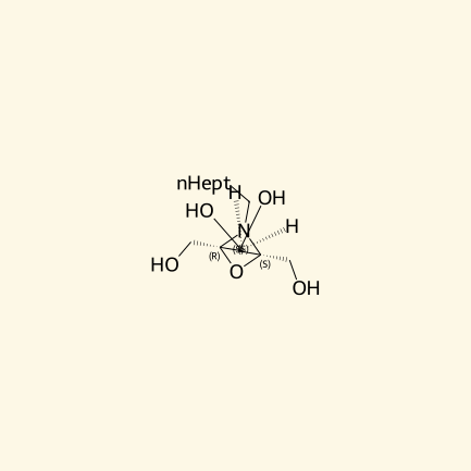 CCCCCCCCN1[C@@]2(CO)O[C@]1(CO)[C@@H](O)[C@@H]2O